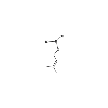 CC(C)=CCOB(O)O